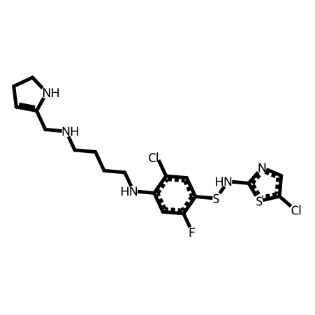 Fc1cc(NCCCCNCC2=CCCN2)c(Cl)cc1SNc1ncc(Cl)s1